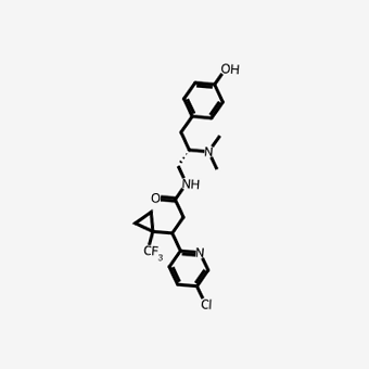 CN(C)[C@H](CNC(=O)CC(c1ccc(Cl)cn1)C1(C(F)(F)F)CC1)Cc1ccc(O)cc1